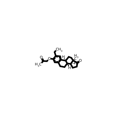 CCc1cc2c(cc1OCC(C)=O)CC[C@@H]1[C@@H]2CC[C@]2(C)C(=O)CC[C@@H]12